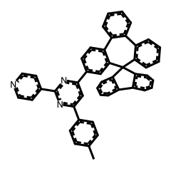 Cc1ccc(-c2cc(-c3ccc4c(c3)C3(c5ccccc5-c5ccccc5-4)c4ccccc4-c4ccccc43)nc(-c3ccncc3)n2)cc1